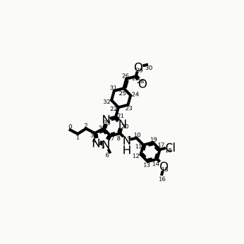 CCCc1nn(C)c2c(NCc3ccc(OC)c(Cl)c3)nc(C3CCC(=CC(=O)OC)CC3)nc12